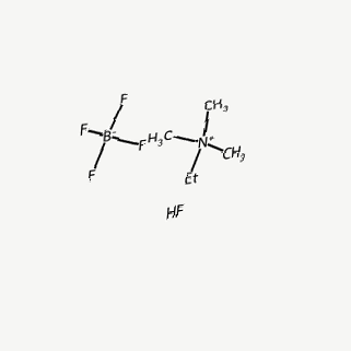 CC[N+](C)(C)C.F.F[B-](F)(F)F